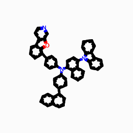 c1ccc2c(-c3ccc(N(c4ccc(-c5cccc6c5oc5cnccc56)cc4)c4ccc(-n5c6ccccc6c6ccccc65)c5ccccc45)cc3)cccc2c1